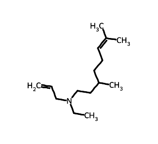 C=CCN(CC)CCC(C)CCC=C(C)C